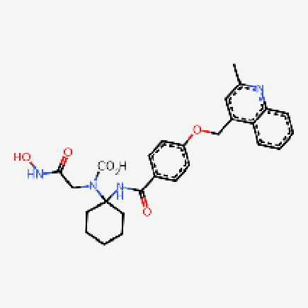 Cc1cc(COc2ccc(C(=O)NC3(N(CC(=O)NO)C(=O)O)CCCCC3)cc2)c2ccccc2n1